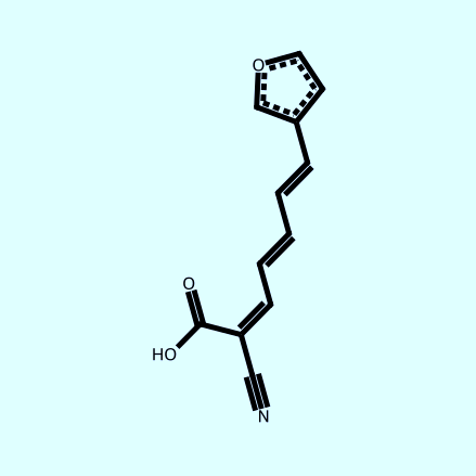 N#CC(=CC=CC=Cc1ccoc1)C(=O)O